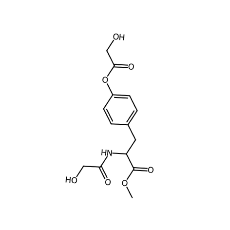 COC(=O)C(Cc1ccc(OC(=O)CO)cc1)NC(=O)CO